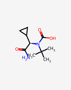 CC(C)(C)N(C(=O)O)[C@@H](C(N)=O)C1CC1